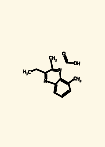 CCc1nc2cccc(C)c2nc1C.O=CO